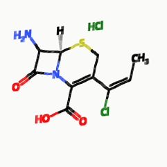 C/C=C(/Cl)C1=C(C(=O)O)N2C(=O)C(N)[C@H]2SC1.Cl